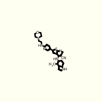 Cc1c(Nc2c(C#N)cnc3sc(-c4ccc(NCCN5CCOCC5)nc4)cc23)ccc2[nH]ccc12